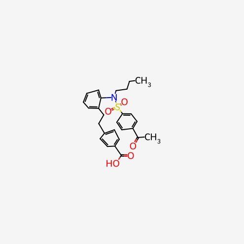 CCCCN(c1ccccc1CCc1ccc(C(=O)O)cc1)S(=O)(=O)c1ccc(C(C)=O)cc1